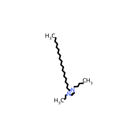 CCCCCCCCCCCCCCCCCCCC1N(CCC)C=CN1CCCCC